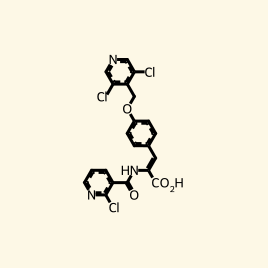 O=C(O)C(=Cc1ccc(OCc2c(Cl)cncc2Cl)cc1)NC(=O)c1cccnc1Cl